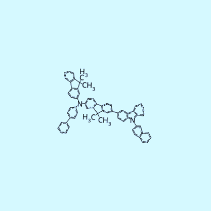 CC1(C)c2ccccc2-c2ccc(N(c3ccc(-c4ccccc4)cc3)c3ccc4c(c3)C(C)(C)c3cc(-c5ccc6c(c5)c5ccccc5n6-c5ccc6ccccc6c5)ccc3-4)cc21